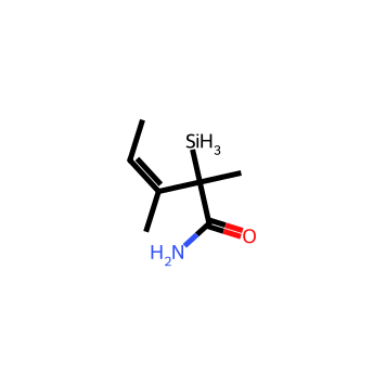 CC=C(C)C(C)([SiH3])C(N)=O